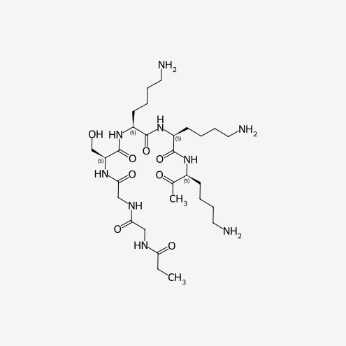 CCC(=O)NCC(=O)NCC(=O)N[C@@H](CO)C(=O)N[C@@H](CCCCN)C(=O)N[C@@H](CCCCN)C(=O)N[C@@H](CCCCN)C(C)=O